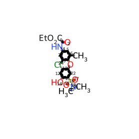 CCOC(=O)C(=O)Nc1cc(C)c(Oc2ccc(O)c(S(=O)(=O)N(C)C)c2)c(Cl)c1